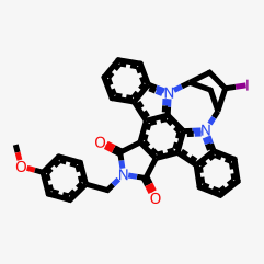 COc1ccc(CN2C(=O)c3c(c4c5ccccc5n5c4c4c3c3ccccc3n4C3CC(I)C5C3)C2=O)cc1